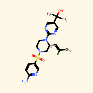 C/C(Cl)=C/[C@H]1CN(S(=O)(=O)c2ccc(N)nc2)CCN1c1ncc(C(C)(O)C(F)(F)F)cn1